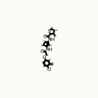 O=C(COc1ccc(Cl)c(F)c1)NC12CC(C1)C(NC(=O)C1SCCC1F)C2